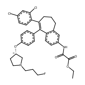 CCOC(=O)C(=O)Nc1ccc2c(c1)CCCC(c1ccc(Cl)cc1Cl)=C2c1ccc(O[C@H]2CCN(CCCF)C2)cc1